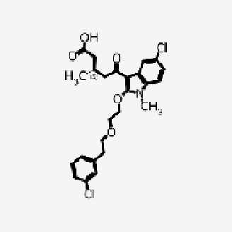 C[C@H](CC(=O)O)CC(=O)c1c(OCCOCCc2cccc(Cl)c2)n(C)c2ccc(Cl)cc12